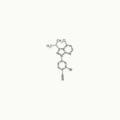 CC(C)c1nn(-c2ccc(C#N)c(Br)c2)c2nccc(Cl)c12